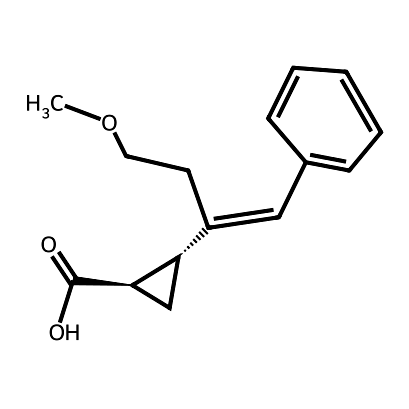 COCC/C(=C\c1ccccc1)[C@@H]1C[C@H]1C(=O)O